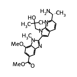 COC(=O)c1cc(OC)c2c(c1)nc(-c1cc3ccc([C@@H](C)N)nc3n1CC(C)(C)O)n2C